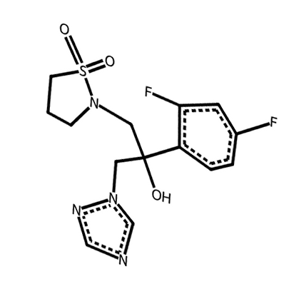 O=S1(=O)CCCN1CC(O)(Cn1cncn1)c1ccc(F)cc1F